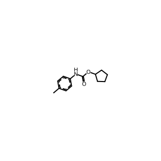 Cc1ccc(NC(=O)OC2CCCC2)cc1